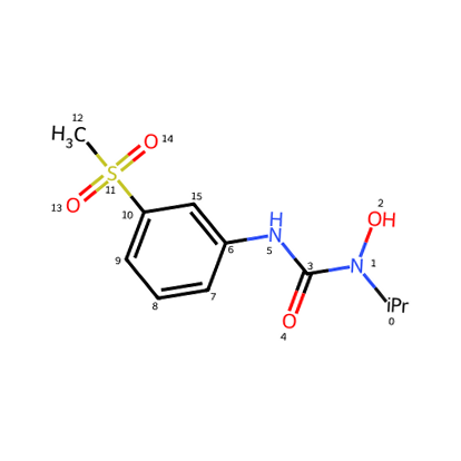 CC(C)N(O)C(=O)Nc1cccc(S(C)(=O)=O)c1